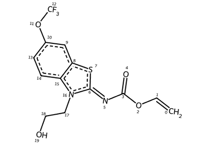 C=COC(=O)/N=c1\sc2cc(OC(F)(F)F)ccc2n1CCO